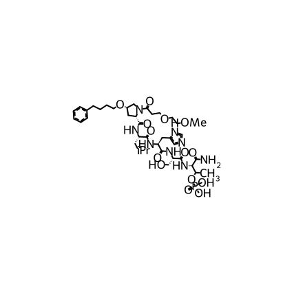 COCCOCCC(=O)N1C[C@@H](OCCCCc2ccccc2)C[C@H]1C(=O)N[C@@H](CC(C)C)C(=O)N[C@@H](Cc1cnc[nH]1)C(=O)N[C@@H](CO)C(=O)N[C@H](C(N)=O)C(C)OP(=O)(O)O